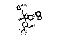 C=CC(=O)N1CCN(c2c(C#N)c(OC[C@@H]3CCCN3C)nc3c2CCN(c2cccc4c2CCC4)C3)C[C@@H]1CC#N